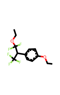 CCOc1ccc(C(C(F)(F)F)C(F)(F)OCC)cc1